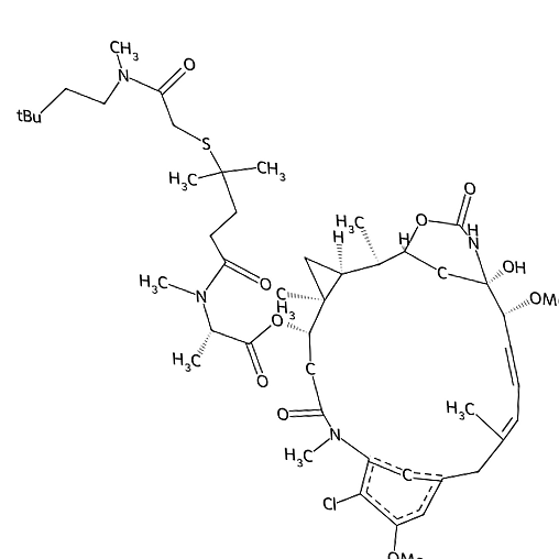 COc1cc2cc(c1Cl)N(C)C(=O)C[C@H](OC(=O)[C@H](C)N(C)C(=O)CCC(C)(C)SCC(=O)N(C)CCC(C)(C)C)[C@@]1(C)C[C@H]1[C@H](C)[C@@H]1C[C@@](O)(NC(=O)O1)[C@H](OC)/C=C/C=C(\C)C2